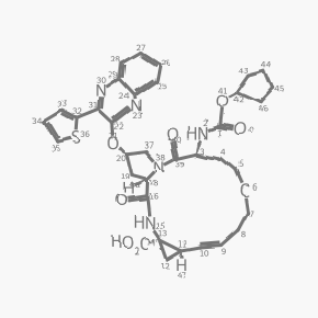 O=C(N[C@H]1CCCCC/C=C\[C@@H]2C[C@@]2(C(=O)O)NC(=O)[C@@H]2C[C@@H](Oc3nc4ccccc4nc3-c3cccs3)CN2C1=O)OC1CCCC1